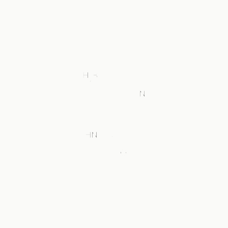 Bc1cncc2c1CNC2=O